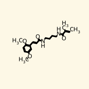 C/C=C(\C)C(=O)NCCCCNC(=O)/C=C/c1cc(OC)ccc1OC